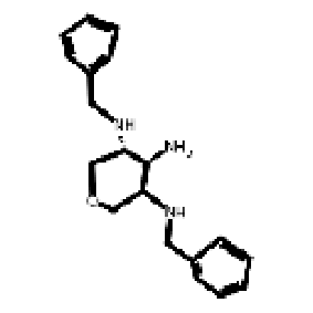 N[C@H]1C(NCc2ccccc2)COC[C@@H]1NCc1ccccc1